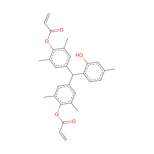 C=CC(=O)Oc1c(C)cc(C(c2cc(C)c(OC(=O)C=C)c(C)c2)c2ccc(C)cc2O)cc1C